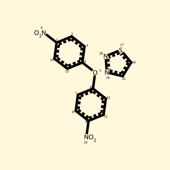 O=[N+]([O-])c1ccc(Oc2ccc([N+](=O)[O-])cc2)cc1.c1csnn1